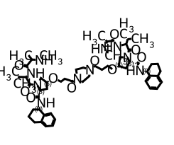 CNC(C)C(=O)NC(C(=O)N1C[C@@H](OCCC(=O)N2CCN(C(=O)CCO[C@H]3C[C@@H](C(=O)N[C@@H]4CCCc5ccccc54)N(C(=O)C(NC(=O)C(C)NC)C(C)C)C3)CC2)C[C@H]1C(=O)N[C@@H]1CCCc2ccccc21)C(C)C